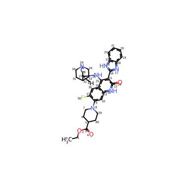 CCOC(=O)C1CCN(c2cc3[nH]c(=O)c(-c4nc5ccccc5[nH]4)c(N[C@H]4CN5CCC4CC5)c3cc2F)CC1